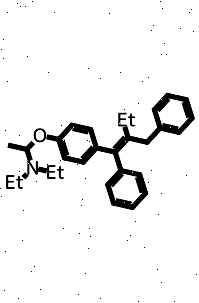 CCC(Cc1ccccc1)=C(c1ccccc1)c1ccc(OC(C)N(CC)CC)cc1